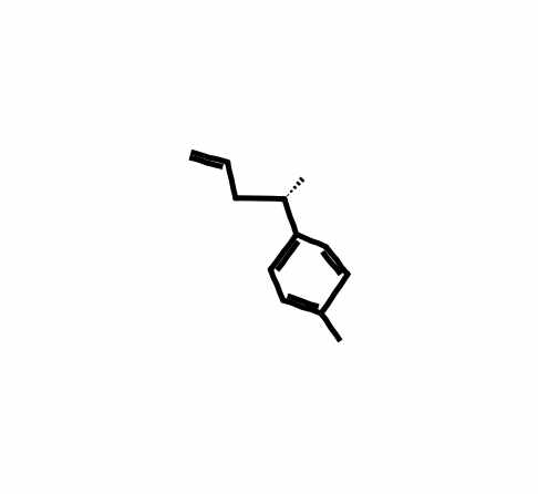 C=CC[C@H](C)c1ccc(C)cc1